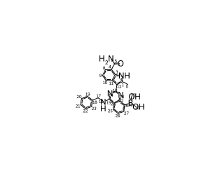 Cc1[nH]c2c(C(N)=O)cccc2c1-c1nc(NCc2ccccc2)c2cccc(B(O)O)c2n1